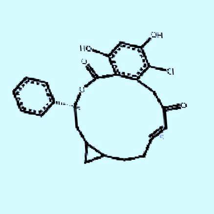 O=C1/C=C/CCC2CC2C[C@H](c2ccccc2)OC(=O)c2c(O)cc(O)c(Cl)c2C1